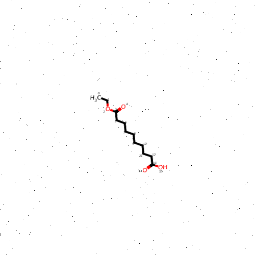 CCOC(=O)CCCCCCCCC(=O)O